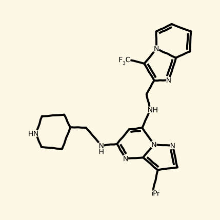 CC(C)c1cnn2c(NCc3nc4ccccn4c3C(F)(F)F)cc(NCC3CCNCC3)nc12